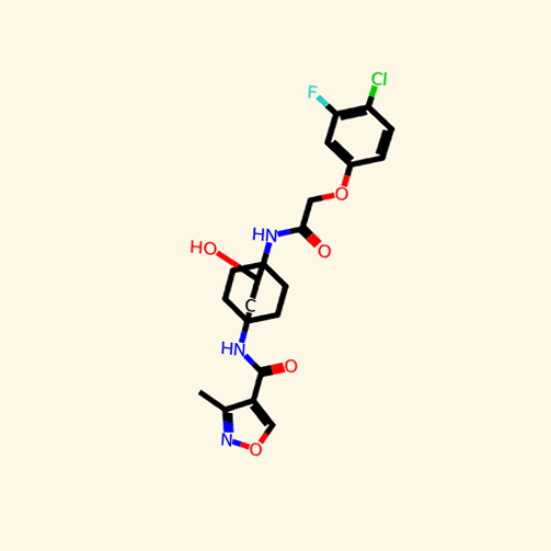 Cc1nocc1C(=O)NC12CCC(NC(=O)COc3ccc(Cl)c(F)c3)(CC1)C(O)C2